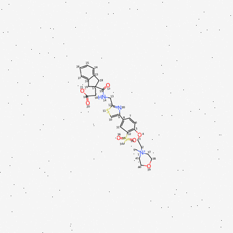 C[N+]1(CCOc2ccc(-c3csc(CNC(=O)C4(CC(=O)[O-])Cc5ccccc5C4)n3)cc2S(C)(=O)=O)CCOCC1